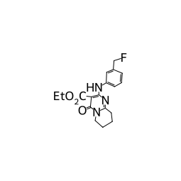 CCOC(=O)c1c(Nc2cccc(CF)c2)nc2n(c1=O)CCCC2